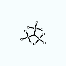 Cl[Si](Cl)(Cl)C([Si](Cl)(Cl)Cl)[Si](Cl)(Cl)Cl